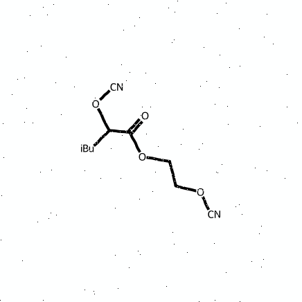 CCC(C)C(OC#N)C(=O)OCCOC#N